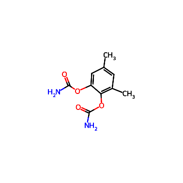 Cc1cc(C)c(OC(N)=O)c(OC(N)=O)c1